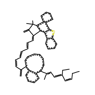 C=C(\C=C/C=C/C=C/C=C1\C(=C)C(C)(C)c2c1c1c3ccccc3sc1c1ccccc21)c1ccccccc(/C(C)=C/C=C(/C=C\CC)CC)c2ccccc12